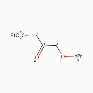 CCCOCC(=O)CC(=O)OCC